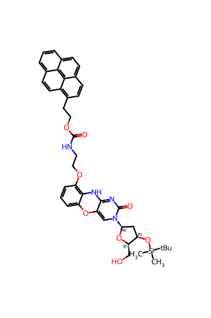 CC(C)(C)[Si](C)(C)O[C@@H]1C[C@H](n2cc3c(nc2=O)Nc2c(OCCNC(=O)OCCc4ccc5ccc6cccc7ccc4c5c67)cccc2O3)O[C@@H]1CO